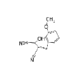 COc1cccc(C=C(C#N)C(O)C#N)c1